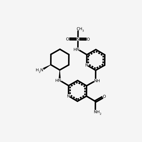 CS(=O)(=O)Nc1cccc(Nc2cc(N[C@@H]3CCCC[C@@H]3N)ncc2C(N)=O)n1